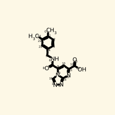 Cc1ccc(CNC(=O)c2cc(C(=O)O)nc3nncn23)cc1C